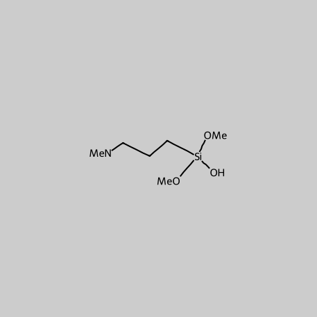 CNCCC[Si](O)(OC)OC